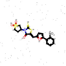 O=C1C(=Cc2ccc(-c3ccccc3[N+](=O)[O-])o2)SC(=S)N1C1CCS(=O)(=O)C1